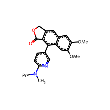 COc1cc2cc3c(c(-c4ccc(N(C)C(C)C)nc4)c2cc1OC)C(=O)OC3